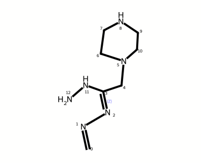 C=N/N=C(/CN1CCNCC1)NN